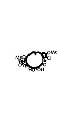 COc1cc2cc(c1Cl)N(C)C(=O)C[C@H](O)[C@@]1(C)O[C@H]1[C@H](C)[C@@H]1C[C@@](O)(NC(=O)O1)[C@H](OC)/C=C/C=C(\C)C2